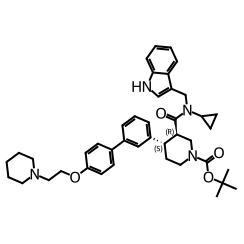 CC(C)(C)OC(=O)N1CC[C@H](c2cccc(-c3ccc(OCCN4CCCCC4)cc3)c2)[C@@H](C(=O)N(Cc2c[nH]c3ccccc23)C2CC2)C1